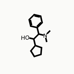 CN(C)C(c1ccccc1)C(O)C1CCCC1